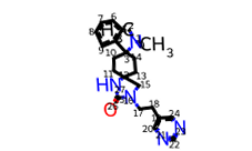 CN(C)C1(c2ccccc2)CCC2(CC1)CN(CCc1cncnc1)C(=O)N2